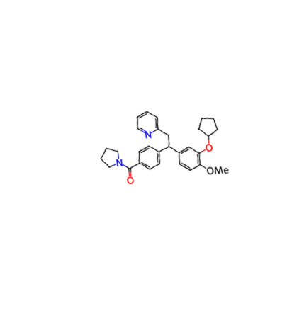 COc1ccc(C(Cc2ccccn2)c2ccc(C(=O)N3CCCC3)cc2)cc1OC1CCCC1